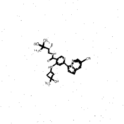 CC1(O)CC(Nc2cc(-c3ccc4cc(C#N)cnn34)ncc2C(=O)NC[C@@H](F)C(C)(C)O)C1